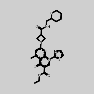 CCOC(=O)c1cn(-c2nccs2)c2nc(N3CC(C(=O)NCC4CCCCO4)C3)cc(C)c2c1=O